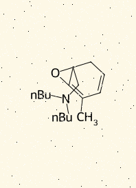 CCCCN(CCCC)CC12CC=CC(C)=C1O2